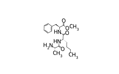 CCCC[C@H](NC(=O)[C@H](C)N)C(=O)N[C@@H](Cc1ccccc1)C(=O)OC